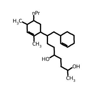 CCCC1CC(C(CCC(O)CCC(C)O)CC2C=CCCC2)C(C)=CC1C